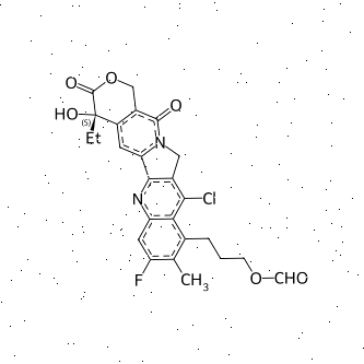 CC[C@@]1(O)C(=O)OCc2c1cc1n(c2=O)Cc2c-1nc1cc(F)c(C)c(CCCOC=O)c1c2Cl